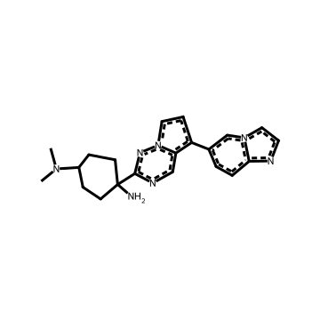 CN(C)C1CCC(N)(c2ncc3c(-c4ccc5nccn5c4)ccn3n2)CC1